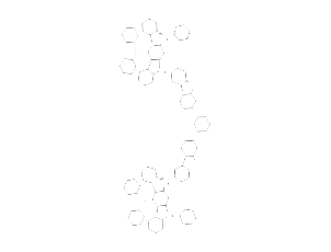 c1ccc(B(c2ccccc2)c2c3c4ccccc4n(-c4ccccc4)c3cc3c2c2ccccc2n3-c2ccc3oc4cc(-c5cccc(-c6ccc7c(c6)oc6ccc(-n8c9ccccc9c9c(B(c%10ccccc%10)c%10ccccc%10)c%10c%11ccccc%11n(-c%11ccccc%11)c%10cc98)cc67)c5)ccc4c3c2)cc1